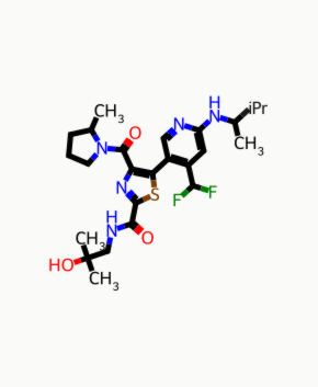 CC(C)C(C)Nc1cc(C(F)F)c(-c2sc(C(=O)NCC(C)(C)O)nc2C(=O)N2CCCC2C)cn1